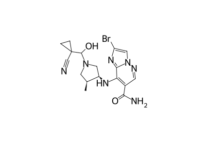 C[C@H]1CN(C(O)C2(C#N)CC2)C[C@H]1Nc1c(C(N)=O)cnn2cc(Br)nc12